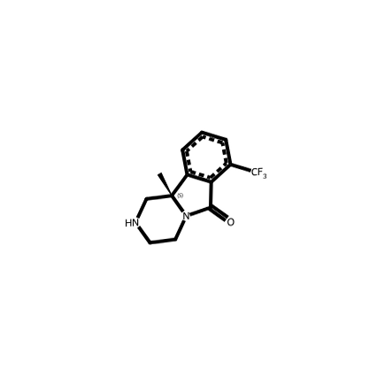 C[C@]12CNCCN1C(=O)c1c(C(F)(F)F)cccc12